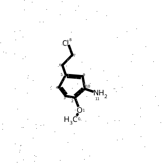 COc1ccc(CCCl)cc1N